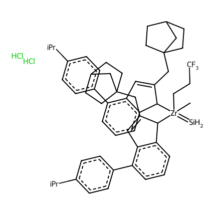 CC(C)c1ccc(-c2cccc3c2C=C(CC24CCC(CC2)C4)[CH]3[Zr]([CH3])(=[SiH2])([CH2]CC(F)(F)F)[CH]2C(CC34CCC(CC3)C4)=Cc3c(-c4ccc(C(C)C)cc4)cccc32)cc1.Cl.Cl